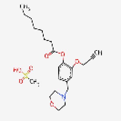 C#CCOc1cc(CN2CCOCC2)ccc1OC(=O)CCCCCCC.CS(=O)(=O)O